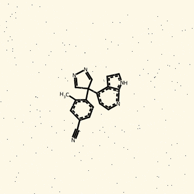 Cc1cc(C#N)ccc1C1(c2ccnc3[nH]ccc23)C=NN=C1